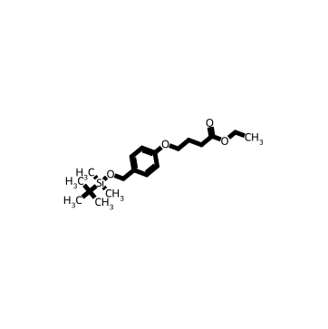 CCOC(=O)CCCOc1ccc(CO[Si](C)(C)C(C)(C)C)cc1